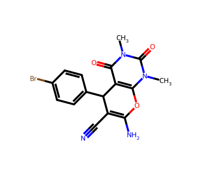 Cn1c2c(c(=O)n(C)c1=O)C(c1ccc(Br)cc1)C(C#N)=C(N)O2